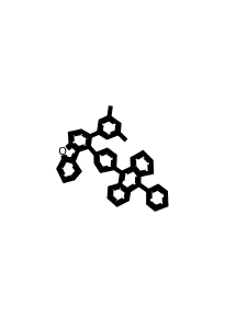 Cc1cc(C)cc(-c2ccc3oc4ccccc4c3c2-c2ccc(-c3c4ccccc4c(-c4ccccc4)c4ccccc34)cc2)c1